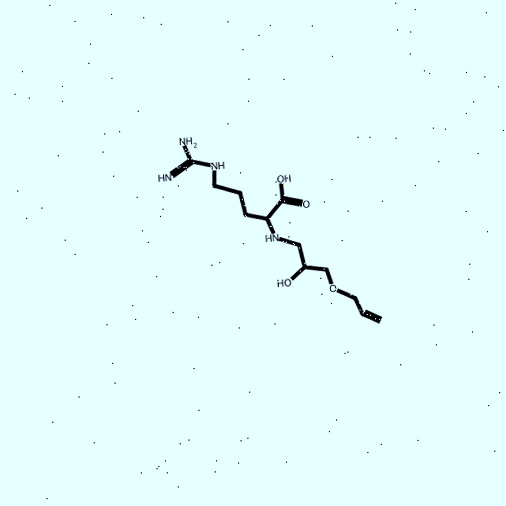 C=CCOCC(O)CNC(CCCNC(=N)N)C(=O)O